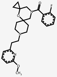 COc1cccc(CCN2CCC3(CC2)CN(C(=O)c2ccccc2F)CC2(CC2)O3)n1